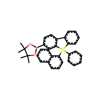 CC1(C)OB(c2ccc3c(c2)S(c2ccccc2)(c2cccc4ccccc24)c2ccccc2-3)OC1(C)C